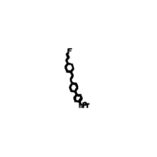 CCCc1ccc(C2CCC(CCC3CCC(C/C=C/F)CC3)CC2)cc1